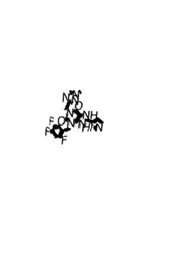 Cn1cnc(Cn2c(=O)c3[nH]c(-c4ccn[nH]4)nc3n(Cc3cc(F)c(F)cc3F)c2=O)n1